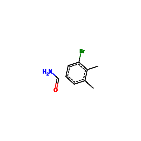 Cc1cccc(Br)c1C.NC=O